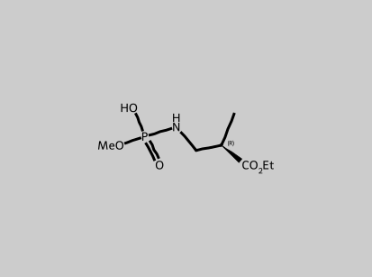 CCOC(=O)[C@H](C)CNP(=O)(O)OC